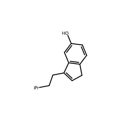 CC(C)CCC1=CCc2ccc(O)cc21